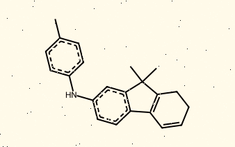 Cc1ccc(Nc2ccc3c(c2)C(C)(C)C2=C3C=CCC2)cc1